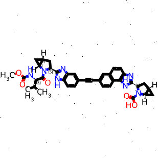 COC(=O)N[C@H](C(=O)N1[C@@H]2C[C@@H]2C[C@H]1c1nc2cc(C#Cc3ccc4c(ccc5nc([C@@H]6C[C@H]7C[C@H]7N6C(=O)O)[nH]c54)c3)ccc2[nH]1)C(C)C